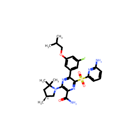 CC(C)COc1cc(F)cc(-c2nc(N3C[C@@H](C)CC3(C)C)c(C(N)=O)nc2S(=O)(=O)c2cccc(N)n2)c1